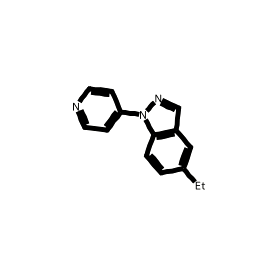 CCc1ccc2c(cnn2-c2ccncc2)c1